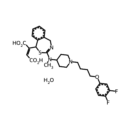 CN(C1=NCc2ccccc2C(/C(=C\C(=O)O)C(=O)O)S1)C1CCN(CCCCOc2ccc(F)c(F)c2)CC1.O